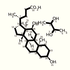 CC(O)C(C)O.C[C@H](CCC(=O)O)[C@H]1CC[C@H]2[C@@H]3CCC4C[C@H](O)CC[C@]4(C)[C@H]3C[C@H](O)[C@]12C